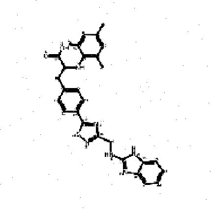 Cc1cc(C)c(NC(Cc2ccc(-c3nc(CNc4nc5ccccc5[nH]4)ns3)cc2)C(=O)O)c(C)c1